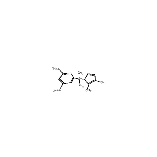 CCCCCCc1cc(CCCCCC)cc([Si](C)(C)[C]2C=CC(C)=C2C)c1